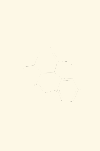 CC(O)c1ccc2ccccc2c1[N+](=O)[O-]